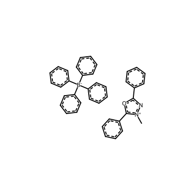 C[n+]1nc(-c2ccccc2)oc1-c1ccccc1.c1ccc([B-](c2ccccc2)(c2ccccc2)c2ccccc2)cc1